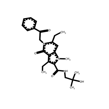 CCc1c(C(=O)NCC(C)(C)O)n(C)c2cc(CC)n(CC(=O)c3ccccc3)c(=O)c12